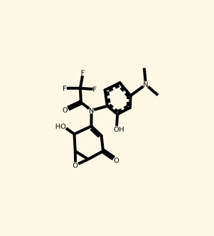 CN(C)c1ccc(N(C(=O)C(F)(F)F)C2=CC(=O)C3OC3C2O)c(O)c1